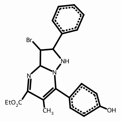 CCOC(=O)C1=NC2C(Br)C(c3ccccc3)NN2C(c2ccc(O)cc2)=C1C